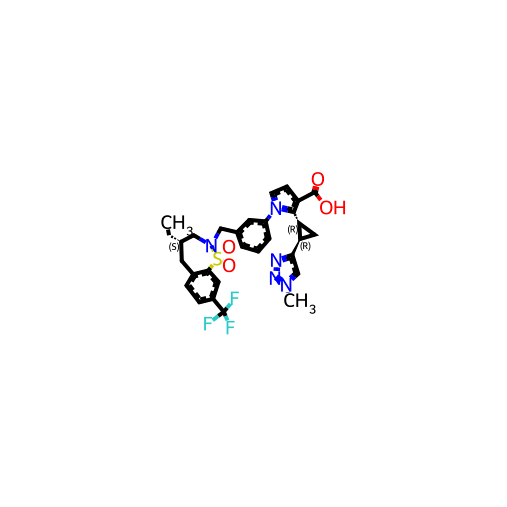 CC[C@H]1Cc2ccc(C(F)(F)F)cc2S(=O)(=O)N(Cc2cccc(-n3ccc(C(=O)O)c3[C@@H]3C[C@H]3c3cn(C)nn3)c2)C1